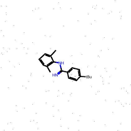 Cc1cccc(C)c1NC(=N)c1ccc(C(C)(C)C)cc1